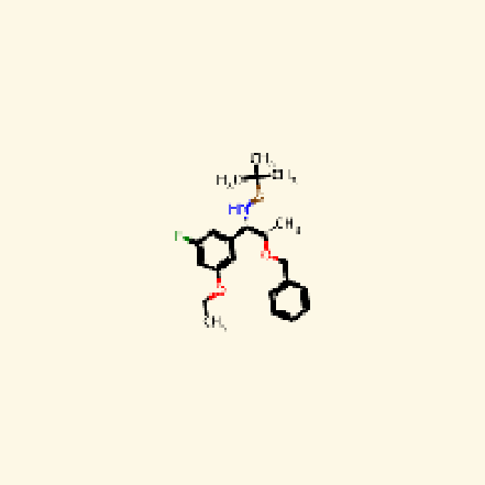 CCOc1cc(F)cc([C@H](NSC(C)(C)C)[C@H](C)OCc2ccccc2)c1